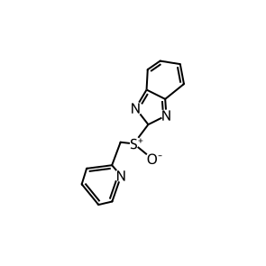 [O-][S+](Cc1ccccn1)C1N=c2ccccc2=N1